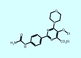 CCOC(=O)c1nc(-c2ccc(NC(N)=O)cc2)nc(N2CCOCC2)c1OCC